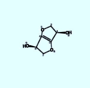 O[C@@H]1COC2=C1OC[C@H]2O